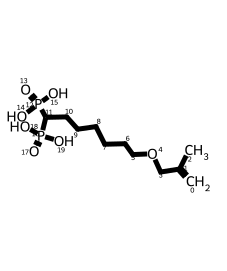 C=C(C)COCCCCCCC(P(=O)(O)O)P(=O)(O)O